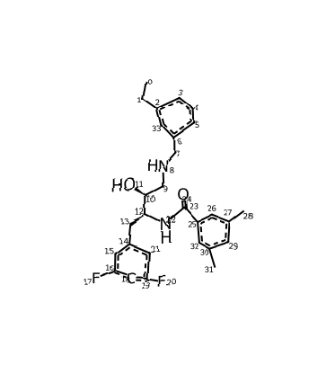 CCc1cccc(CNC[C@H](O)[C@H](Cc2cc(F)cc(F)c2)NC(=O)c2cc(C)cc(C)c2)c1